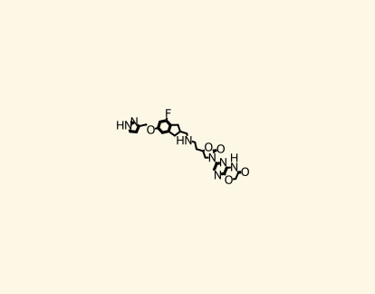 O=C1COc2ncc(N3CC(CCNCC4Cc5cc(OCc6cc[nH]n6)cc(F)c5C4)OC3=O)nc2N1